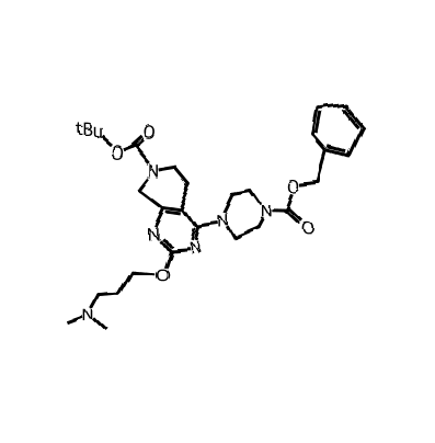 CN(C)CCCOc1nc2c(c(N3CCN(C(=O)OCc4ccccc4)CC3)n1)CCN(C(=O)OC(C)(C)C)C2